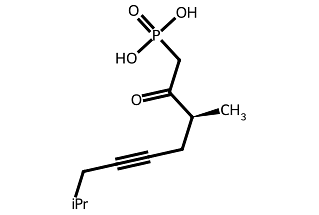 CC(C)CC#CC[C@H](C)C(=O)CP(=O)(O)O